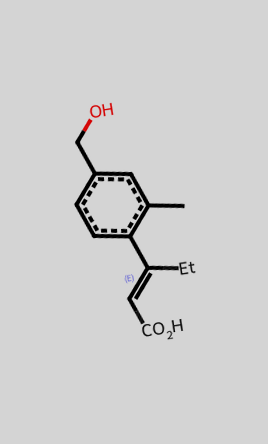 CC/C(=C\C(=O)O)c1ccc(CO)cc1C